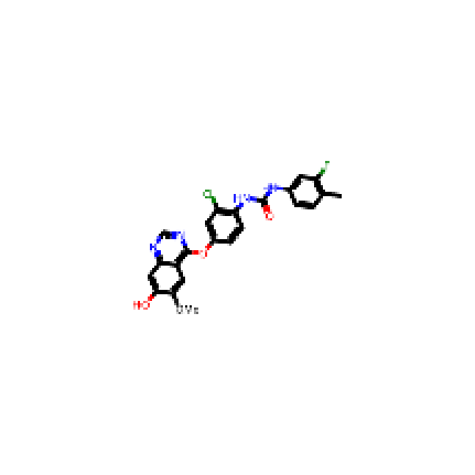 COc1cc2c(Oc3ccc(NC(=O)Nc4ccc(C)c(F)c4)c(Cl)c3)ncnc2cc1O